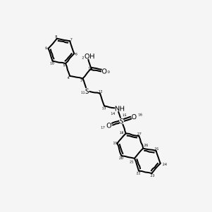 O=C(O)C(Cc1ccccc1)SCCNS(=O)(=O)c1ccc2ccccc2c1